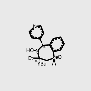 CCCC[C@@]1(CC)CS(=O)(=O)c2ccccc2[C@H](c2ccncc2)N1O